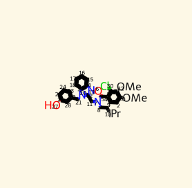 COc1ccc(C(=O)N(CCC(C)C)Cc2nc3ccccc3n2Cc2cccc(O)c2)c(Cl)c1OC